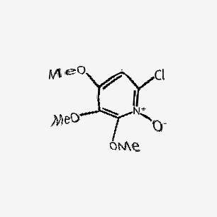 COc1[c]c(Cl)[n+]([O-])c(OC)c1OC